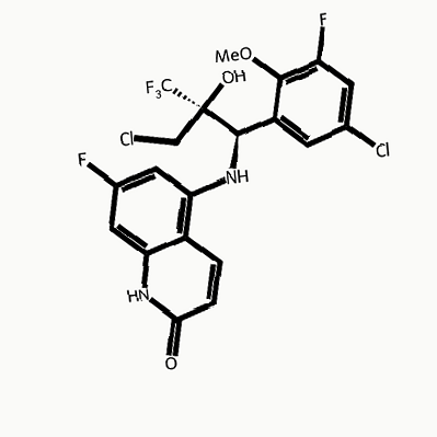 COc1c(F)cc(Cl)cc1[C@@H](Nc1cc(F)cc2[nH]c(=O)ccc12)[C@](O)(CCl)C(F)(F)F